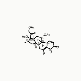 CC(=O)OCC(=O)[C@@]1(OC(C)=O)[C@H](C)C[C@H]2[C@@H]3CC(F)=C4[C@H](F)C(=O)C=C[C@]4(C)[C@@]3(F)[C@@H](OC(C)=O)C[C@@]21C